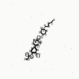 CCCCC[C@H]1CC[C@H](COc2ncc(-c3ccc(OC(=O)CC)c(Cl)c3)cn2)CC1